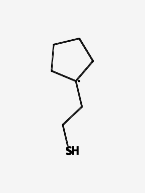 SCC[C]1CCCC1